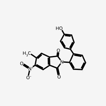 Cc1cc2c(cc1[N+](=O)[O-])C(=O)N(c1ccccc1-c1ccc(O)cc1)C2=O